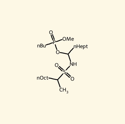 CCCCCCCCC(C)S(=O)(=O)NC(CCCCCCC)OP(=O)(CCCC)OC